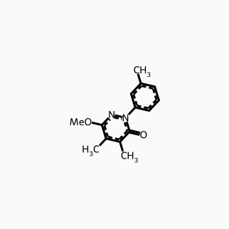 COc1nn(-c2cccc(C)c2)c(=O)c(C)c1C